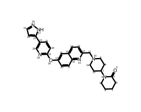 O=C1CCCCN1C1CCN(Cc2ccc3cc(Oc4ccc(-c5ccn[nH]5)cn4)ccc3n2)CC1